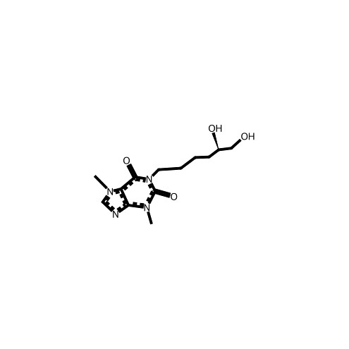 Cn1cnc2c1c(=O)n(CCCC[C@@H](O)CO)c(=O)n2C